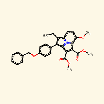 CCc1c(-c2ccc(OCc3ccccc3)cc2)c2c(C(=O)OC)c(C(=O)OC)c3c(OC)ccc1n32